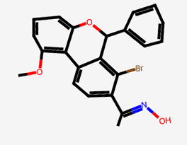 COc1cccc2c1-c1ccc(C(C)=NO)c(Br)c1C(c1ccccc1)O2